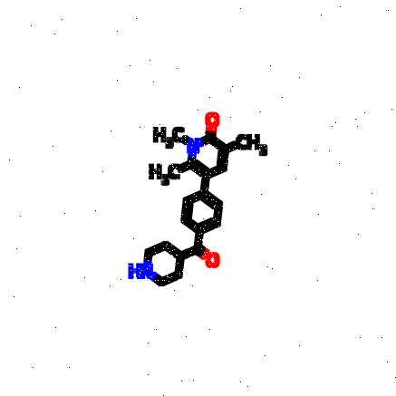 Cc1cc(-c2ccc(C(=O)C3CCNCC3)cc2)c(C)n(C)c1=O